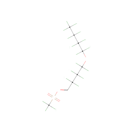 O=S(=O)(OCC(F)(F)C(F)(F)C(F)(F)OC(F)(F)C(F)(F)C(F)(F)C(F)(F)F)C(F)(F)F